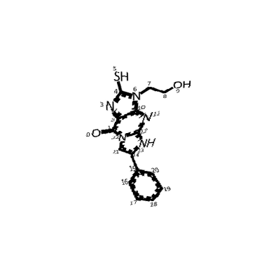 O=c1c2nc(S)n(CCO)c2nc2[nH]c(-c3ccccc3)cn12